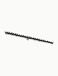 CCCCCCCCCCCCCCCCCCCCCCCCOC(=O)CCCCCCCCCCCCCCCCCCCCCCC